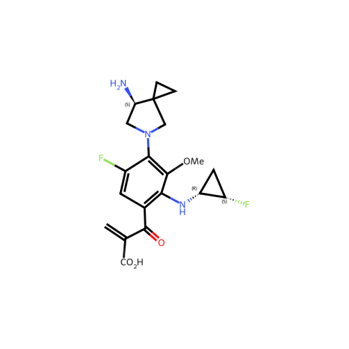 C=C(C(=O)O)C(=O)c1cc(F)c(N2C[C@@H](N)C3(CC3)C2)c(OC)c1N[C@@H]1C[C@@H]1F